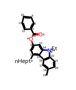 CCCCCCCc1cc(OC(=O)c2ccccc2)cc2c1c1cc(C)ccc1n2CC